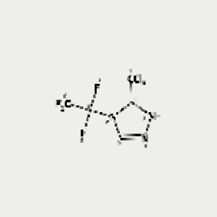 FC(F)(F)C(F)(F)N1C=NNC1C(Cl)(Cl)Cl